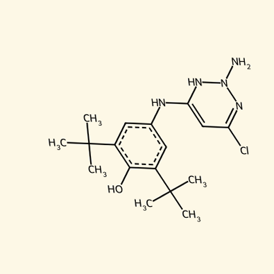 CC(C)(C)c1cc(NC2=CC(Cl)=NN(N)N2)cc(C(C)(C)C)c1O